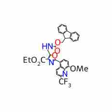 CCOC(=O)c1nc(-c2ccc(OC)c3nc(C(F)(F)F)ccc23)oc1[C@H](C)NC(=O)OCC1c2ccccc2-c2ccccc21